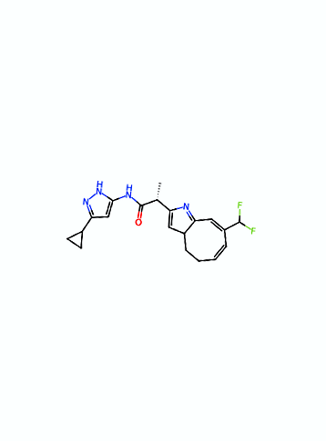 C[C@@H](C(=O)Nc1cc(C2CC2)n[nH]1)C1=CC2CC/C=C\C(C(F)F)=C/C2=N1